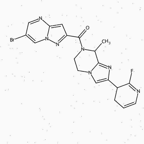 CC1c2nc(C3CC=CN=C3F)cn2CCN1C(=O)c1cc2ncc(Br)cn2n1